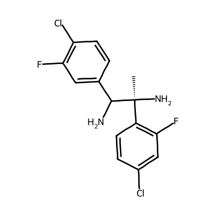 C[C@](N)(c1ccc(Cl)cc1F)C(N)c1ccc(Cl)c(F)c1